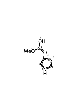 COS(=O)O.c1c[nH]cn1